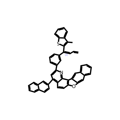 C=C/C=C(/c1cccc(-c2cc(-c3ccc4ccccc4c3)c3ccc4oc5cc6ccccc6cc5c4c3n2)c1)c1sc2ccccc2c1C